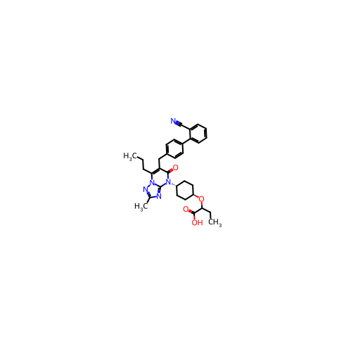 CCCc1c(Cc2ccc(-c3ccccc3C#N)cc2)c(=O)n([C@H]2CC[C@H](OC(CC)C(=O)O)CC2)c2nc(C)nn12